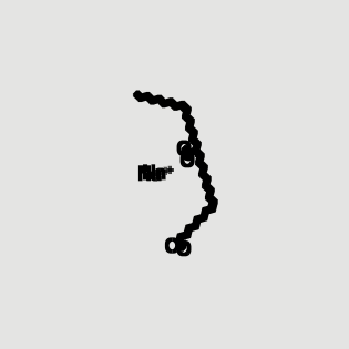 CCCCCCCC/C=C\CCCCCCC(CCCCCCCC/C=C\CCCCCCCC(=O)[O-])C(=O)[O-].[Na+].[Na+]